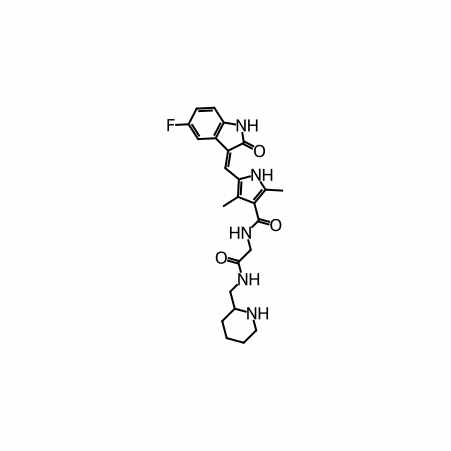 Cc1[nH]c(/C=C2\C(=O)Nc3ccc(F)cc32)c(C)c1C(=O)NCC(=O)NCC1CCCCN1